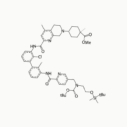 COC(=O)C1(C)CCC(N2CCc3c(C)cc(C(=O)Nc4cccc(-c5cccc(NC(=O)c6ccc(CN(CCO[Si](C)(C)C(C)(C)C)C(=O)OC(C)(C)C)cn6)c5C)c4Cl)nc3C2)CC1